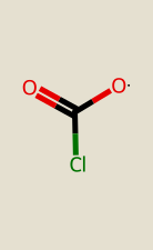 [O]C(=O)Cl